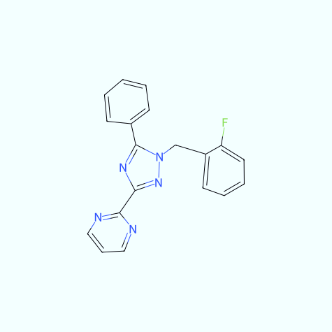 Fc1ccccc1Cn1nc(-c2ncccn2)nc1-c1ccccc1